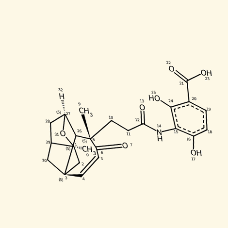 C[C@]12C[C@@]34C=CC(=O)[C@@](C)(CCC(=O)Nc5c(O)ccc(C(=O)O)c5O)C3[C@H](CC1C4)O2